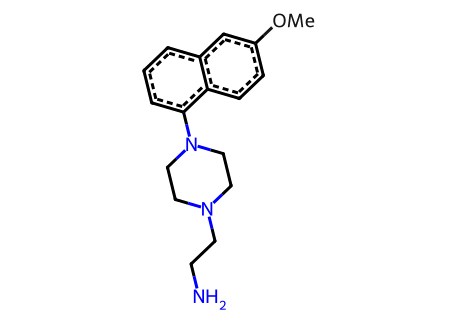 COc1ccc2c(N3CCN(CCN)CC3)cccc2c1